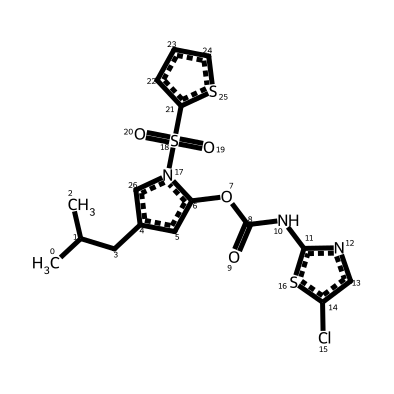 CC(C)Cc1cc(OC(=O)Nc2ncc(Cl)s2)n(S(=O)(=O)c2cccs2)c1